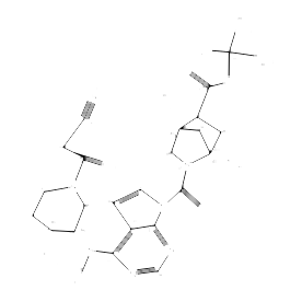 C[C@@H]1CCN(C(=O)CC#N)C[C@@H]1N(C)c1ncnc2c1ccn2C(=O)N1C[C@@H]2C[C@H]1CC2C(=O)OC(C)(C)C